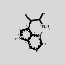 CC(N)C(C)c1c[nH]c2cccnc12